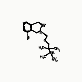 C[SiH](C)C(C)(C)COC[C@H]1Cc2c(Br)cccc2CN1